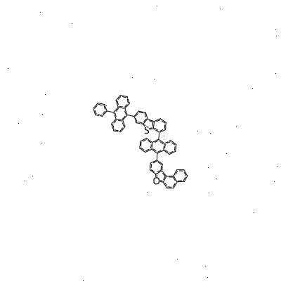 c1ccc(-c2c3ccccc3c(-c3ccc4c(c3)sc3c(-c5c6ccccc6c(-c6ccc7oc8ccc9ccccc9c8c7c6)c6ccccc56)cccc34)c3ccccc23)cc1